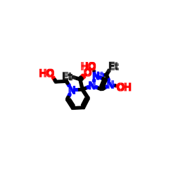 CCC(=O)C1(N2C3=C[N+]2(O)C(CC)N3O)C=CC=CN1CCO